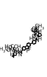 C/C=C(\NC(=O)OC)C(=O)N1[C@@H]2CC[C@@H](C2)[C@H]1c1nc2ccc(-c3ccc4c(c3)C(F)(F)c3cc(-c5cnc([C@@H]6CC7(CC7)CN6C(=O)[C@@H](NC(=O)OC)C(C)C)[nH]5)ccc3-4)cc2[nH]1